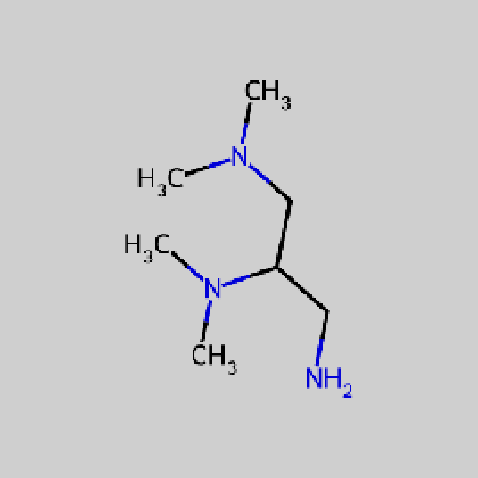 CN(C)CC(CN)N(C)C